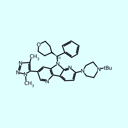 Cc1nnn(C)c1-c1cnc2c3ccc(N4CCN(C(C)(C)C)CC4)nc3n([C@H](c3ccccc3)C3CCOCC3)c2c1